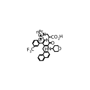 CCCN1CC(C(=O)O)n2c(c(-c3cccc(C(F)(F)F)c3)c(Cc3cccc4ccccc34)c(NC3CCOCC3)c2=O)S1(=O)=O